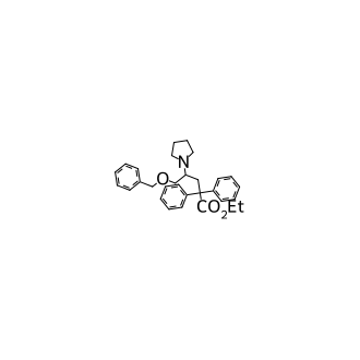 CCOC(=O)C(CC(COCc1ccccc1)N1CCCC1)(c1ccccc1)c1ccccc1